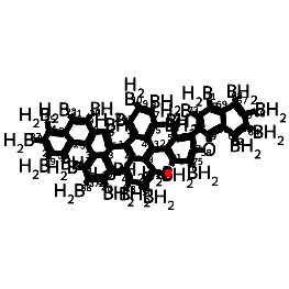 Bc1c(-c2c3c(B)c(B)c(B)c(B)c3c(-c3c(B)c4c(B)c(B)c5c(B)c(B)c(B)c(B)c5c4c4c(B)c(B)c(B)c(B)c34)c3c(B)c(B)c(B)c(B)c23)c(B)c2c(oc3c4c(B)c(B)c(B)c(B)c4c(B)c(B)c32)c1B